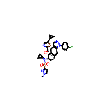 Cn1ccc(S(=O)(=O)N(C2CC2)[C@H]2CCC3=Cc4c(cnn4-c4ccc(F)cc4)C[C@]3(C(=O)c3ncc(C4CC4)s3)C2)n1